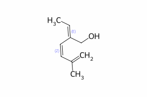 C=C(C)/C=C\C(=C/C)CO